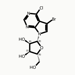 OC[C@H]1O[C@@H](n2cc(Br)c3c(Cl)ncnc32)[C@H](O)[C@@H]1O